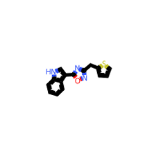 c1csc(Cc2noc(-c3c[nH]c4ccccc34)n2)c1